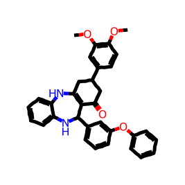 COc1ccc(C2CC(=O)C3=C(C2)Nc2ccccc2NC3c2cccc(Oc3ccccc3)c2)cc1OC